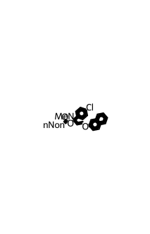 CCCCCCCCCC(=O)OC(CCOc1ccc2ccccc2c1)(NC)c1ccc(Cl)cc1